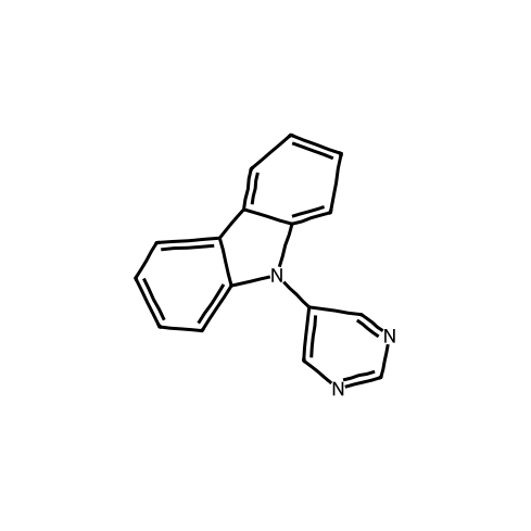 c1ccc2c(c1)c1ccccc1n2-c1cncnc1